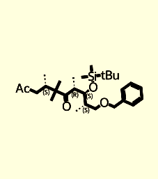 CC(=O)C[C@H](C)C(C)(C)C(=O)[C@H](C)[C@@H](O[Si](C)(C)C(C)(C)C)[C@@H](C)COCc1ccccc1